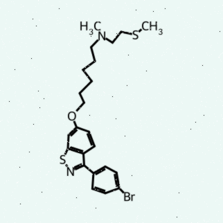 CSCCN(C)CCCCCCOc1ccc2c(-c3ccc(Br)cc3)nsc2c1